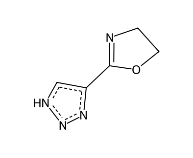 c1[nH]nnc1C1=NCCO1